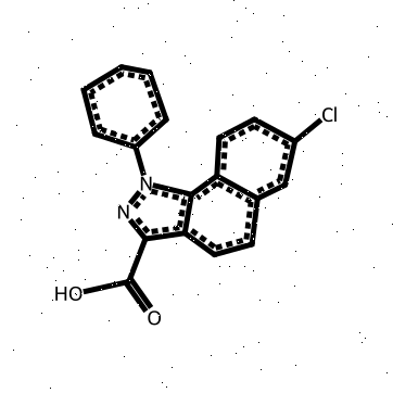 O=C(O)c1nn(-c2ccccc2)c2c1ccc1cc(Cl)ccc12